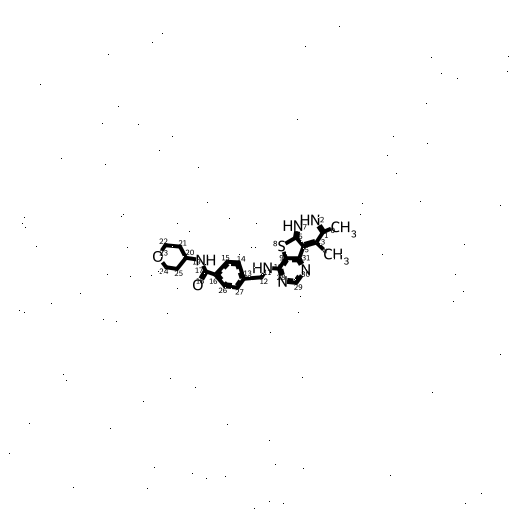 CC(=N)/C(C)=C1\C(=N)Sc2c(NCc3ccc(C(=O)NC4CCOCC4)cc3)ncnc21